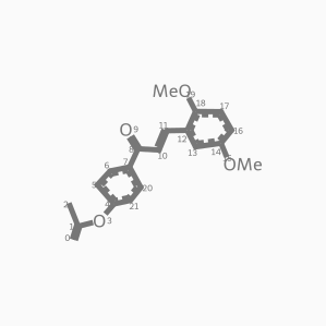 C=C(C)Oc1ccc(C(=O)C=Cc2cc(OC)ccc2OC)cc1